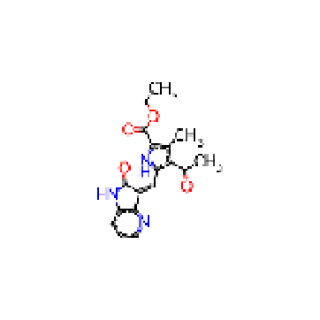 CCOC(=O)c1[nH]c(C=C2C(=O)Nc3cccnc32)c(C(C)=O)c1C